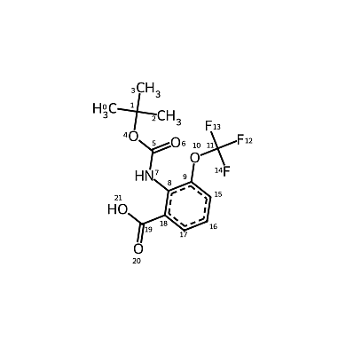 CC(C)(C)OC(=O)Nc1c(OC(F)(F)F)cccc1C(=O)O